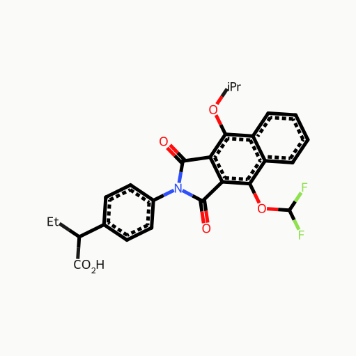 CCC(C(=O)O)c1ccc(N2C(=O)c3c(c(OC(F)F)c4ccccc4c3OC(C)C)C2=O)cc1